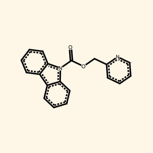 O=C(OCc1ccc[c]n1)n1c2ccccc2c2ccccc21